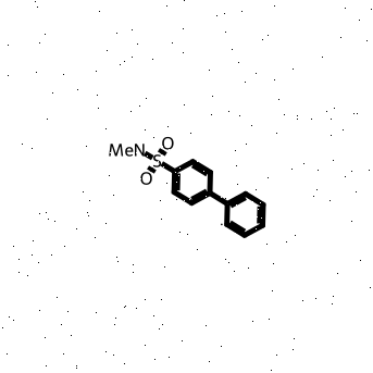 CNS(=O)(=O)c1ccc(-c2[c]cccc2)cc1